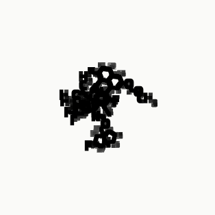 COCOc1cc(-c2ncc3c(OCC(F)(F)F)nc(OC[C@@]45CCCN4C[C@H](F)C5)nc3c2F)c2c(C#C[Si](C(C)C)(C(C)C)C(C)C)c(F)ccc2c1